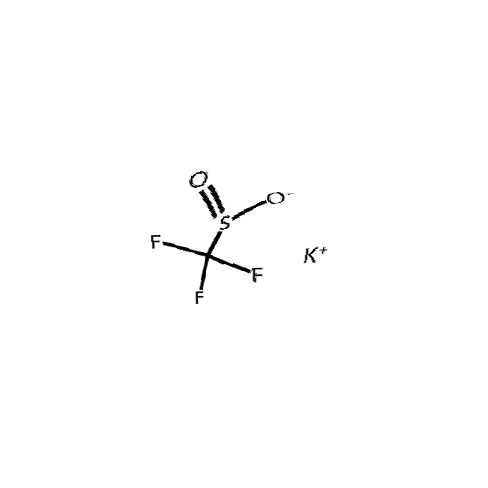 O=S([O-])C(F)(F)F.[K+]